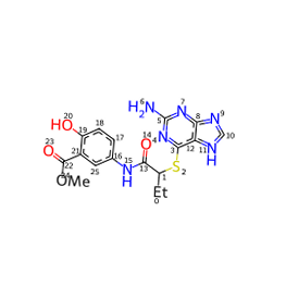 CCC(Sc1nc(N)nc2nc[nH]c12)C(=O)Nc1ccc(O)c(C(=O)OC)c1